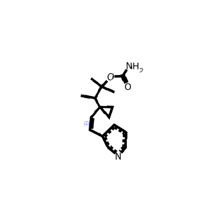 CC(C1(/C=C\c2cccnc2)CC1)C(C)(C)OC(N)=O